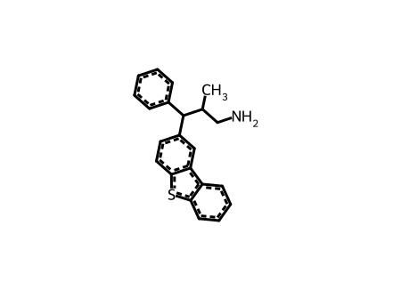 CC(CN)C(c1ccccc1)c1ccc2sc3ccccc3c2c1